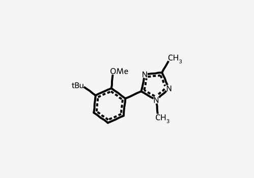 COc1c(-c2nc(C)nn2C)cccc1C(C)(C)C